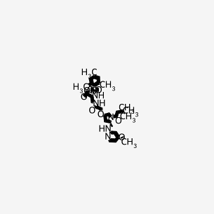 COc1ccnc(NC[C@@H]2CC(OCC(=O)NCC(NS(=O)(=O)c3c(C)cc(C)cc3C)C(=O)O)CN2C(=O)CC(C)(C)C)c1